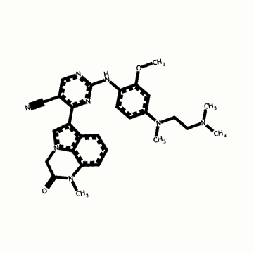 COc1cc(N(C)CCN(C)C)ccc1Nc1ncc(C#N)c(-c2cn3c4c(cccc24)N(C)C(=O)C3)n1